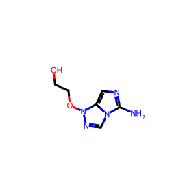 Nc1ncc2n(OCCO)ncn12